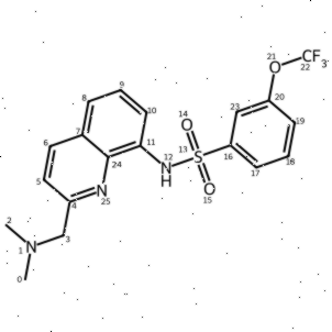 CN(C)Cc1ccc2cccc(NS(=O)(=O)c3cccc(OC(F)(F)F)c3)c2n1